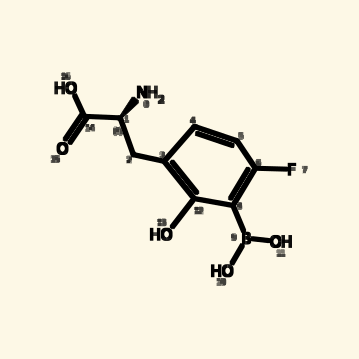 N[C@@H](Cc1ccc(F)c(B(O)O)c1O)C(=O)O